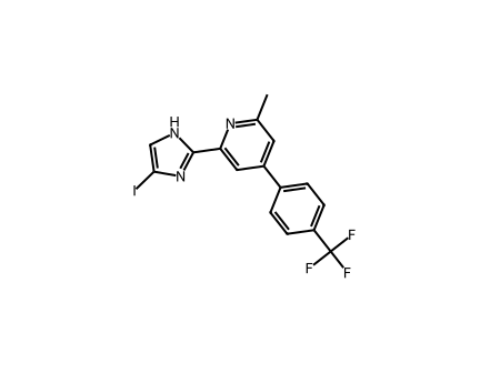 Cc1cc(-c2ccc(C(F)(F)F)cc2)cc(-c2nc(I)c[nH]2)n1